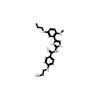 CCCOc1ccc(OC)c(-c2csc(NC(=O)c3ccc(OCCO)cc3)n2)c1